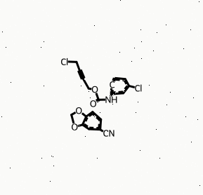 N#Cc1ccc2c(c1)OCO2.O=C(Nc1cccc(Cl)c1)OCC#CCCl